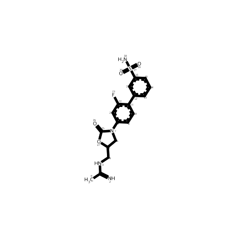 CC(=N)NCC1CN(c2ccc(-c3cccc(S(N)(=O)=O)c3)c(F)c2)C(=O)O1